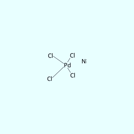 [Cl][Pd]([Cl])([Cl])[Cl].[N]